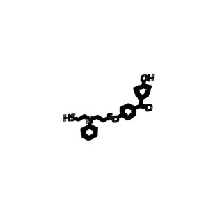 O=C(c1ccc(O)cc1)c1ccc(OSCCN(CCS)c2ccccc2)cc1